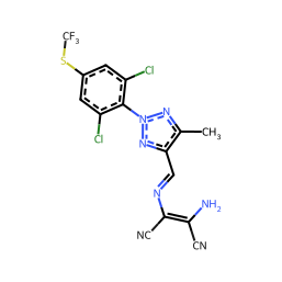 Cc1nn(-c2c(Cl)cc(SC(F)(F)F)cc2Cl)nc1C=NC(C#N)=C(N)C#N